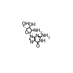 Nc1nc2c(ncn2[C@@H]2O[C@H](CO)[C@@H](O)C2N)c(=O)[nH]1